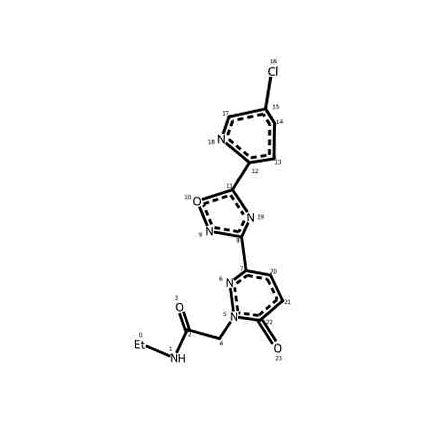 CCNC(=O)Cn1nc(-c2noc(-c3ccc(Cl)cn3)n2)ccc1=O